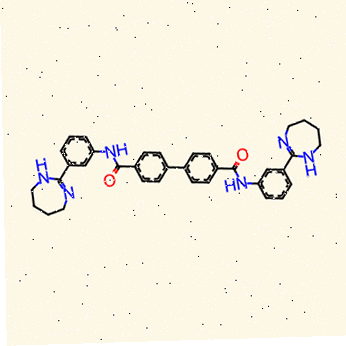 O=C(Nc1cccc(C2=NCCCCN2)c1)c1ccc(-c2ccc(C(=O)Nc3cccc(C4=NCCCCN4)c3)cc2)cc1